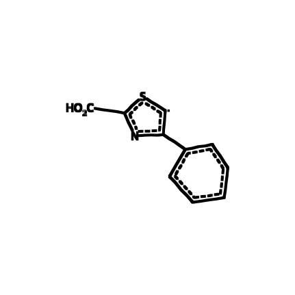 O=C(O)c1nc(-c2ccccc2)[c]s1